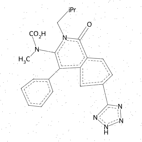 CC(C)Cn1c(N(C)C(=O)O)c(-c2ccccc2)c2cc(-c3nn[nH]n3)ccc2c1=O